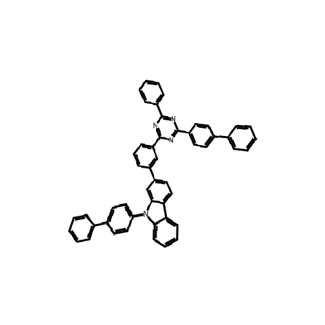 c1ccc(-c2ccc(-c3nc(-c4ccccc4)nc(-c4cccc(-c5ccc6c7ccccc7n(-c7ccc(-c8ccccc8)cc7)c6c5)c4)n3)cc2)cc1